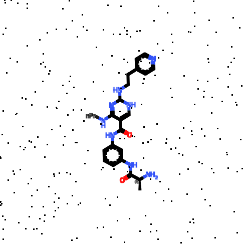 CCCNC1=NC(NCCc2ccncc2)NC=C1C(=O)Nc1cccc(NC(=O)[C@H](C)N)c1